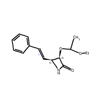 CCOC(C)O[C@H]1C(=O)N[C@H]1/C=C/c1ccccc1